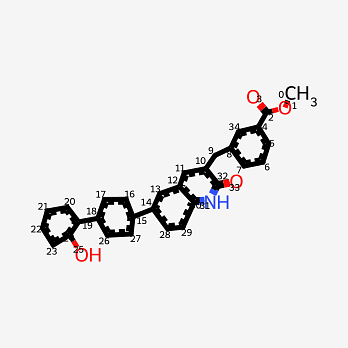 COC(=O)c1cccc(Cc2cc3cc(-c4ccc(-c5ccccc5O)cc4)ccc3[nH]c2=O)c1